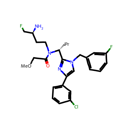 COCC(=O)N(CC[C@H](N)CF)[C@@H](c1nc(-c2cccc(Cl)c2)cn1Cc1cccc(F)c1)C(C)C